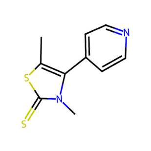 Cc1sc(=S)n(C)c1-c1ccncc1